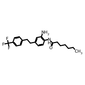 CCCCCCC(=O)Nc1ccc(CCc2ccc(C(F)(F)F)cc2)cc1N